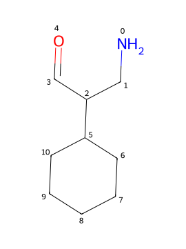 NCC(C=O)C1CCCCC1